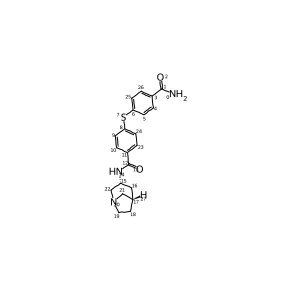 NC(=O)c1ccc(Sc2ccc(C(=O)N[C@@H]3C[C@@H]4CCN(C4)C3)cc2)cc1